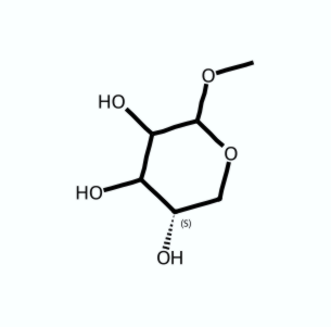 COC1OC[C@H](O)C(O)C1O